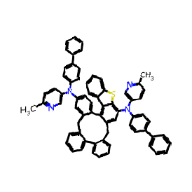 Cc1ccc(N(c2ccc(-c3ccccc3)cc2)c2ccc3c(c2)Cc2ccccc2-c2ccccc2Cc2cc(N(c4ccc(-c5ccccc5)cc4)c4ccc(C)nc4)c4sc5ccccc5c4c2-3)cn1